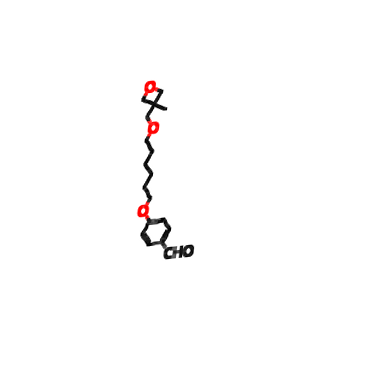 CC1(COCCCCCCOc2ccc(C=O)cc2)COC1